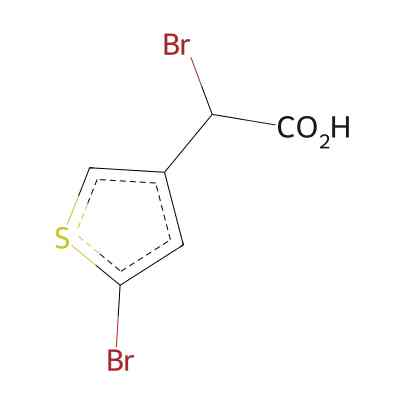 O=C(O)C(Br)c1csc(Br)c1